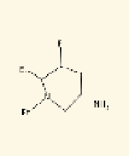 CCC1C(F)CCCN1CC.N